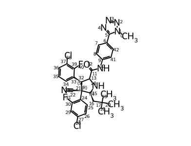 Cn1nnnc1-c1ccc(NC(=O)C2N[C@@H](CC(C)(C)C)[C@](C#N)(c3ccc(Cl)cc3F)[C@H]2c2cccc(Cl)c2F)cc1